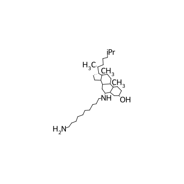 CC(C)CCC[C@@H](C)[C@H]1CCC2C3C[C@@H](NCCCCCCCCCCN)C4C[C@@H](O)CC[C@]4(C)C3CC[C@@]21C